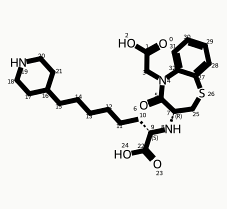 O=C(O)CN1C(=O)[C@@H](N[C@@H](CCCCCCC2CCNCC2)C(=O)O)CSc2ccccc21